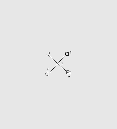 [CH2]CC([CH2])(Cl)Cl